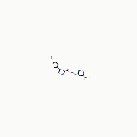 CCOc1ccc(-c2cncc(C(=O)NCCc3cc(C(C)O)cnc3F)n2)cn1